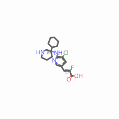 O=C(O)/C(F)=C/c1cnc(N[C@@]2(C3CCCCC3)CCCNC2)c(Cl)c1